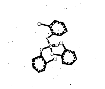 O=P(Oc1ccccc1Cl)(Oc1ccccc1Cl)Sc1ccccc1Cl